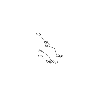 CC(=O)CC(=O)O.CC(=O)CC(=O)O.CO.CO